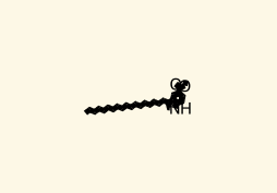 CCCCCCCCCCCCCCCCCCC1CNc2ccc(C(=O)OC)cc21